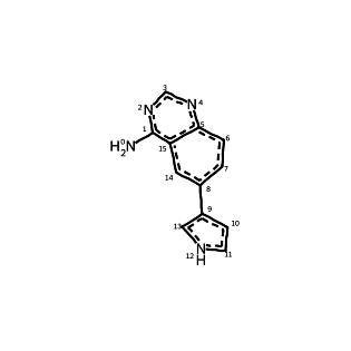 Nc1ncnc2ccc(-c3cc[nH]c3)cc12